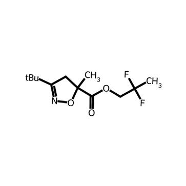 CC(F)(F)COC(=O)C1(C)CC(C(C)(C)C)=NO1